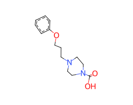 O=C(O)N1CCN(CCCOc2ccccc2)CC1